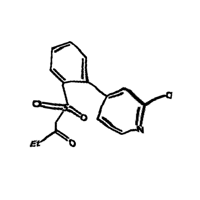 CCC(=O)S(=O)(=O)c1ccccc1-c1ccnc(Cl)c1